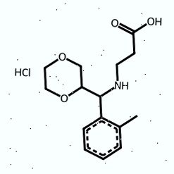 Cc1ccccc1C(NCCC(=O)O)C1COCCO1.Cl